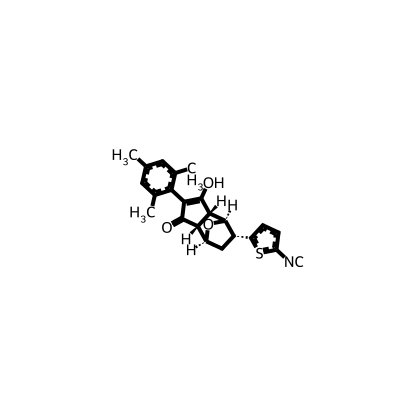 [C-]#[N+]c1ccc([C@@H]2C[C@@H]3O[C@H]2[C@H]2C(O)=C(c4c(C)cc(C)cc4C)C(=O)[C@H]23)s1